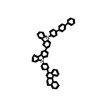 c1ccc(-c2ccc(-c3ccc(-n4c5ccccc5c5cc(-c6ccc7c(c6)c6ccccc6n7-c6ccc(-c7cc8ccc9ccccc9c8c8ccccc78)cc6)ccc54)cc3)cc2)cc1